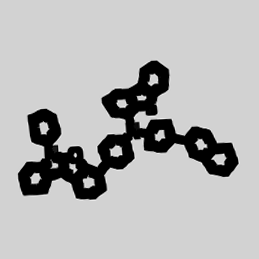 c1ccc(-n2c3ccccc3c3c4cccc(-c5ccc(N(c6ccc(-c7ccc8ccccc8c7)cc6)c6cccc7c6sc6ccccc67)cc5)c4oc32)cc1